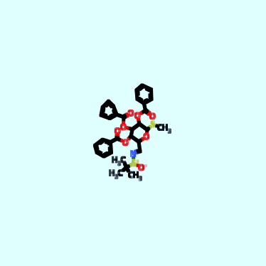 CSC1OC(/C=N/[S+]([O-])C(C)(C)C)C(OC(=O)c2ccccc2)C(OC(=O)c2ccccc2)C1OC(=O)c1ccccc1